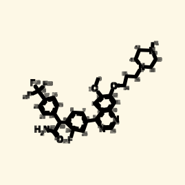 COc1cc2c(-c3ccc(C(C(N)=O)c4ccc(C(F)(F)F)cc4)c(F)c3)ncnc2cc1OCCCN1CCN(C)CC1